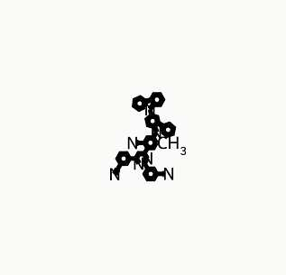 Cc1cc(-c2cc(-c3cccc(C#N)c3)nc(-c3cccc(C#N)c3)n2)c(C#N)cc1-n1c2ccccc2c2cc(-n3c4ccccc4c4ccccc43)ccc21